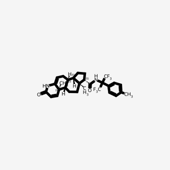 Cc1ccc(C(NC(=O)[C@H]2CC[C@H]3[C@@H]4CC=C5NC(=O)C=C[C@]5(C)[C@H]4CC[C@]23C)(C(F)(F)F)C(F)(F)F)cc1